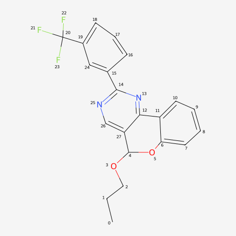 CCCOC1Oc2ccccc2-c2nc(-c3cccc(C(F)(F)F)c3)ncc21